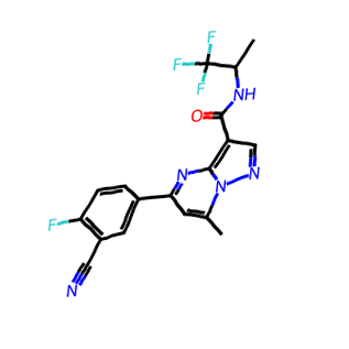 Cc1cc(-c2ccc(F)c(C#N)c2)nc2c(C(=O)NC(C)C(F)(F)F)cnn12